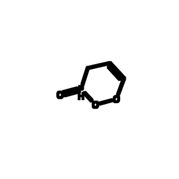 O=[PH]1CC=COO1